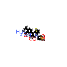 CC(C)c1ccc2cc(C(=O)N(c3ccsc3)[C@@H]3C=CS(=O)(=O)C3)c(=O)[nH]c2c1C(N)=O